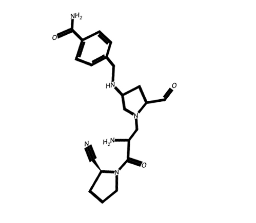 N#C[C@@H]1CCCN1C(=O)C(N)CN1CC(NCc2ccc(C(N)=O)cc2)CC1C=O